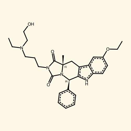 CCOc1ccc2[nH]c3c(c2c1)C[C@@]1(C)C(=O)N(CCCN(CC)CCO)C(=O)N1[C@@H]3c1ccccc1